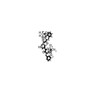 CC(C)(C)ON[C@@H](Cc1ccccc1)C(=O)C(=O)C1=CN(C(=O)C(=O)[C@H](Cc2ccccc2)NOC(C)(C)C)CNC1